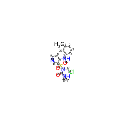 Cc1cccc(Nc2ccncc2S(=O)(=O)N(CCl)C(=O)NC(C)C)c1